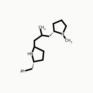 CC(C)C[C@H]1CCC(CC(C)C[C@@H]2CCCN2C)N1